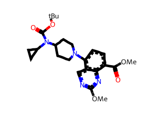 COC(=O)c1ccc(N2CCC(N(C(=O)OC(C)(C)C)C3CC3)CC2)c2cnc(OC)nc12